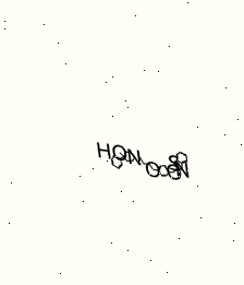 OC1(c2ccccc2)CCN(CCCOc2ccc(Oc3nc4ccccc4s3)cc2)CC1